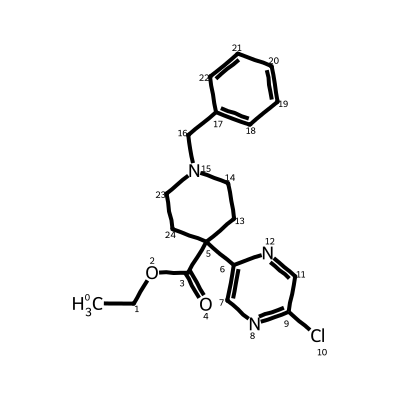 CCOC(=O)C1(c2cnc(Cl)cn2)CCN(Cc2ccccc2)CC1